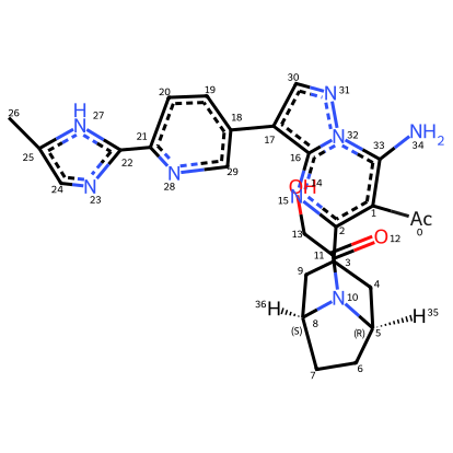 CC(=O)c1c(C2C[C@H]3CC[C@@H](C2)N3C(=O)CO)nc2c(-c3ccc(-c4ncc(C)[nH]4)nc3)cnn2c1N